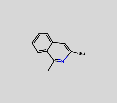 Cc1nc(C(C)(C)C)cc2ccccc12